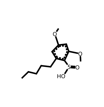 CCCCCc1cc(OC)cc(OC)c1S(=O)O